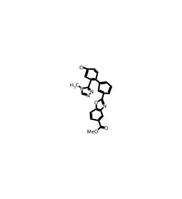 COC(=O)c1ccc2oc(-c3cccc(-c4ccc(Cl)cc4-c4nncn4C)c3)nc2c1